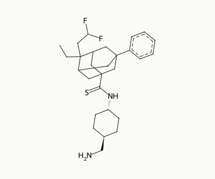 CCC1(CC(F)F)C2CC3(C(=S)N[C@H]4CC[C@H](CN)CC4)CC1CC(c1ccccc1)(C2)C3